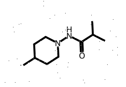 [CH2]C1CCN(NC(=O)C(C)C)CC1